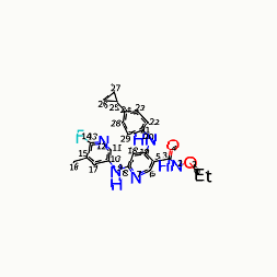 CCONC(=O)c1cnc(Nc2cnc(F)c(C)c2)cc1Nc1ccc(C2CC2)cc1